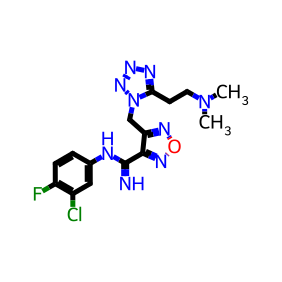 CN(C)CCc1nnnn1Cc1nonc1C(=N)Nc1ccc(F)c(Cl)c1